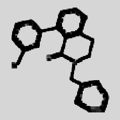 O=C1c2c(cccc2-c2cccc(Br)c2)CCN1Cc1ccccc1